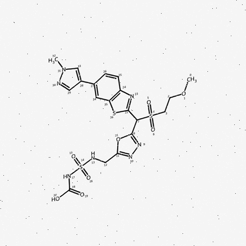 COCCS(=O)(=O)C(c1nnc(CNS(=O)(=O)NC(=O)O)o1)c1nc2ccc(-c3cnn(C)c3)cc2s1